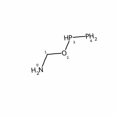 NCOPP